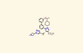 C[C@H](Oc1cccc(-c2cccc(-n3ncc(C(=O)O)c3[C@@H]3C[C@H]3c3cn(C4CN(C)C4)nn3)c2)c1)C1CCCCC1